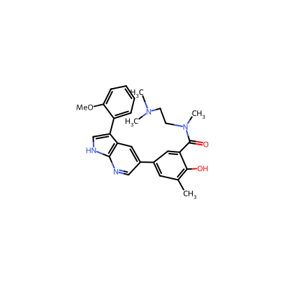 COc1ccccc1-c1c[nH]c2ncc(-c3cc(C)c(O)c(C(=O)N(C)CCN(C)C)c3)cc12